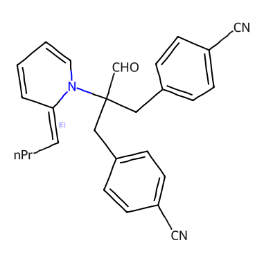 CCC/C=C1\C=CC=CN1C(C=O)(Cc1ccc(C#N)cc1)Cc1ccc(C#N)cc1